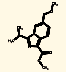 COCc1ccc2c(C(=O)OC)nc(C(C)C)n2c1